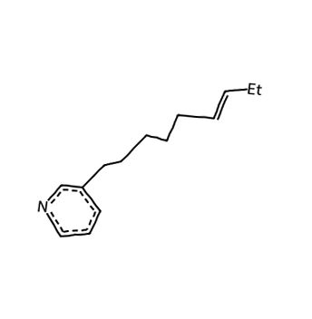 CCC=CCCCCCc1cccnc1